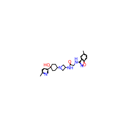 Cc1ccc2onc(NCC(=O)NC3CN(C4CCC(O)(c5ccc(C)nc5)CC4)C3)c2c1